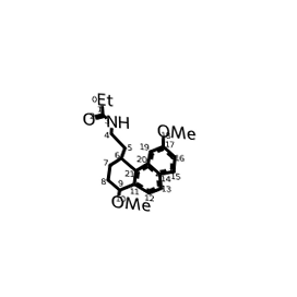 CCC(=O)NCCC1CCC(OC)c2ccc3ccc(OC)cc3c21